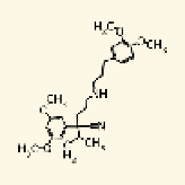 COc1cc(OC)cc(C(C#N)(CCCNCCCc2ccc(OC)c(OC)c2)C(C)C)c1